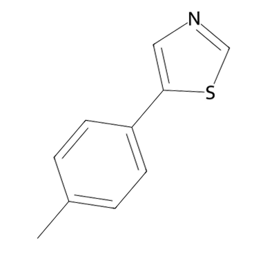 Cc1ccc(-c2cncs2)cc1